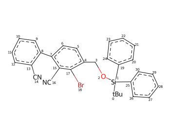 CC(C)(C)[Si](OCc1ccc(-c2ccccc2C#N)c(C#N)c1Br)(c1ccccc1)c1ccccc1